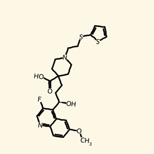 COc1ccc2ncc(F)c([C@H](O)CCC3(C(=O)O)CCN(CCSc4cccs4)CC3)c2c1